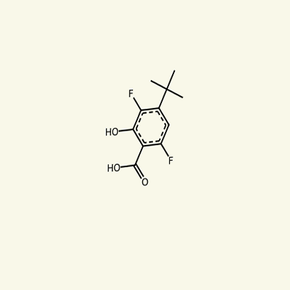 CC(C)(C)c1cc(F)c(C(=O)O)c(O)c1F